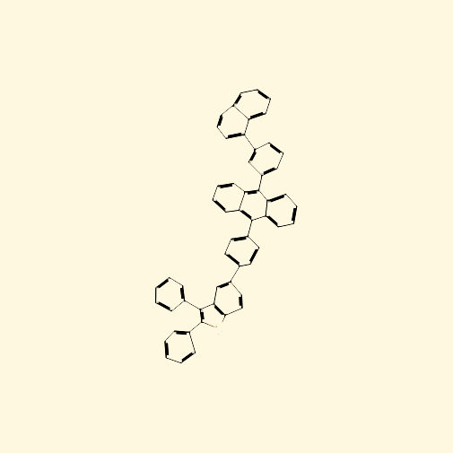 c1ccc(-c2sc3ccc(-c4ccc(-c5c6ccccc6c(-c6cccc(-c7cccc8ccccc78)c6)c6ccccc56)cc4)cc3c2-c2ccccc2)cc1